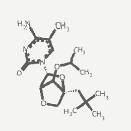 Cc1cn([C@@H]2O[C@@]3(CC(C)(C)C)COC2C3OC(C)C)c(=O)nc1N